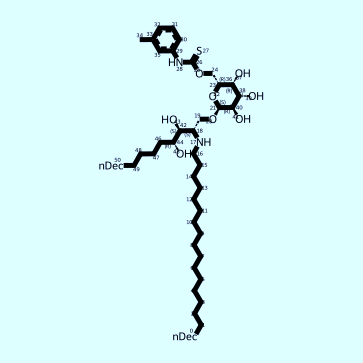 CCCCCCCCCCCCCCCCCCCCCCCCCCN[C@@H](CO[C@H]1O[C@H](COC(=S)Nc2cccc(C)c2)[C@H](O)[C@H](O)[C@H]1O)[C@H](O)[C@H](O)CCCCCCCCCCCCCC